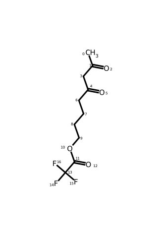 CC(=O)CC(=O)CCCCOC(=O)C(F)(F)F